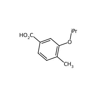 Cc1ccc(C(=O)O)cc1OC(C)C